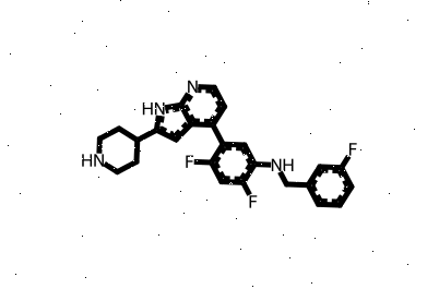 Fc1cccc(CNc2cc(-c3ccnc4[nH]c(C5CCNCC5)cc34)c(F)cc2F)c1